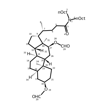 CCCCCCCCN(CCCCCCCC)C(=O)CC[C@@H](C)[C@H]1CC[C@H]2[C@@H]3CC[C@@H]4C[C@H](OC=O)CC[C@]4(C)[C@H]3C[C@H](OC=O)[C@]12C